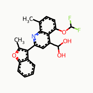 Cc1oc2ccccc2c1-c1cc(C(O)O)c2c(OC(F)F)ccc(C)c2n1